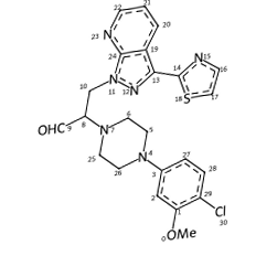 COc1cc(N2CCN(C(C=O)Cn3nc(-c4nccs4)c4cccnc43)CC2)ccc1Cl